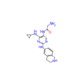 NCC(=O)Nc1cnc(Nc2ccc3c(c2)CCNC3)nc1NC1CC1